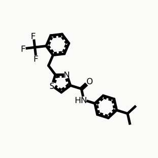 CC(C)c1ccc(NC(=O)c2csc(Cc3ccccc3C(F)(F)F)n2)cc1